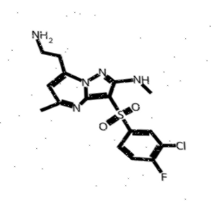 CNc1nn2c(CCN)cc(C)nc2c1S(=O)(=O)c1ccc(F)c(Cl)c1